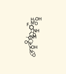 Cc1c(C=C2C(=O)Nc3cc(NC(=O)CO)c(F)cc32)[nH]c2c1C(=O)N(C[C@@H](O)CN1CCOCC1)CC2